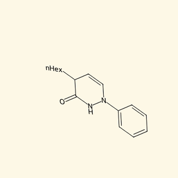 CCCCCCC1C=CN(c2ccccc2)NC1=O